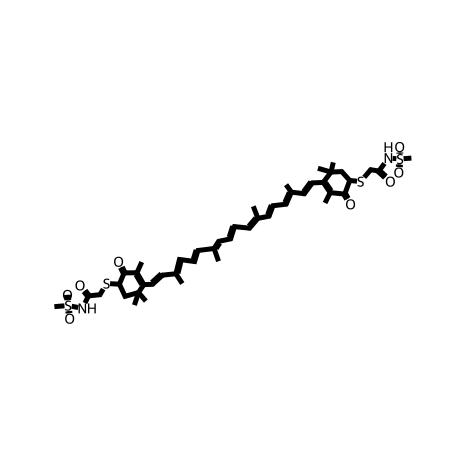 CC1=C(/C=C/C(C)=C/C=C/C(C)=C/C=C/C=C(C)/C=C/C=C(C)/C=C/C2=C(C)C(=O)C(SCC(=O)NS(C)(=O)=O)CC2(C)C)C(C)(C)CC(SCC(=O)NS(C)(=O)=O)C1=O